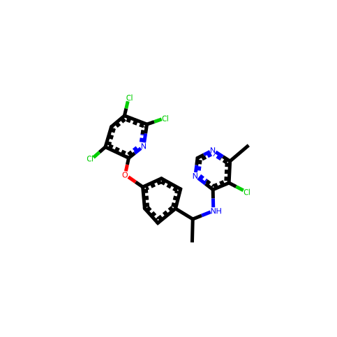 Cc1ncnc(NC(C)c2ccc(Oc3nc(Cl)c(Cl)cc3Cl)cc2)c1Cl